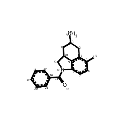 NC1Cc2c(I)ccc3c2C(C1)CN3C(=O)c1ccccc1